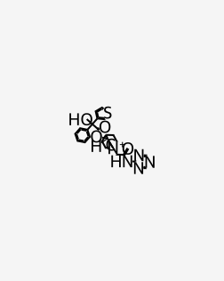 O=C(C[N+]12CCC(CC1)[C@@H](OC(=O)C(O)(c1ccccc1)c1ccsc1)C2)Nc1ncncn1